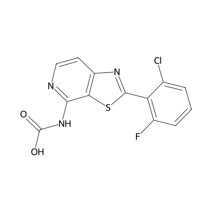 O=C(O)Nc1nccc2nc(-c3c(F)cccc3Cl)sc12